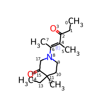 CCC(=O)/C(C)=C(\C)N1CCC(C)(CC)C(=O)C1